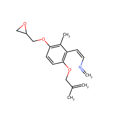 C=N/C=C\c1c(OCC(=C)C)ccc(OCC2CO2)c1C